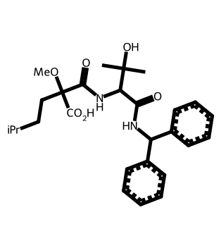 COC(CCC(C)C)(C(=O)O)C(=O)NC(C(=O)NC(c1ccccc1)c1ccccc1)C(C)(C)O